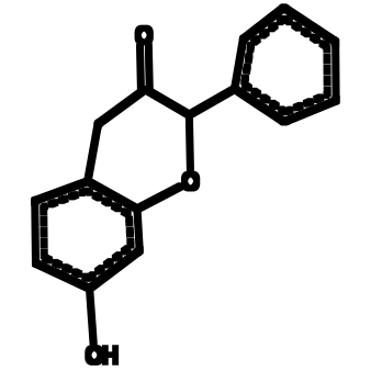 O=C1Cc2ccc(O)cc2OC1c1ccccc1